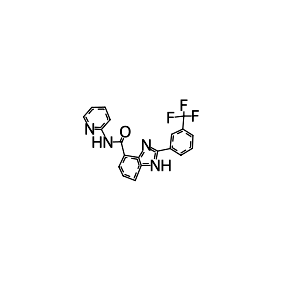 O=C(Nc1ccccn1)c1cccc2[nH]c(-c3cccc(C(F)(F)F)c3)nc12